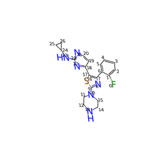 Fc1ccccc1-c1nc(N2CCNCC2)sc1-c1ccnc(NC2CC2)n1